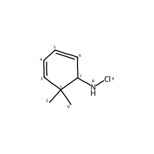 CC1(C)C=CC=CC1NCl